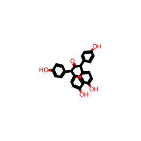 O=C(C(c1ccc(O)cc1)c1ccc(O)cc1)C(c1ccc(O)cc1)c1ccc(O)cc1